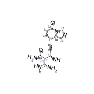 CN/C(N)=C(/C(=N)C#Cc1ccc(Cl)n2cncc12)C(N)=O